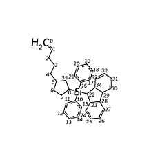 C=CCCCC1CCC([Si](c2ccccc2)(c2ccccc2)C2C3C=CC=CC3C3C=CC=CC32)C1